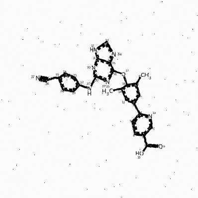 Cc1cc(-c2ccc(C(=O)O)cn2)cc(C)c1Oc1nc(Nc2ccc(C#N)cc2)nc2[nH]cnc12